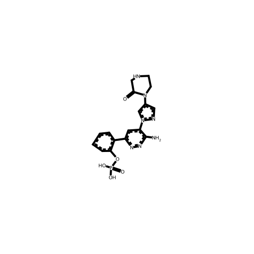 Nc1nnc(-c2ccccc2OP(=O)(O)O)cc1-n1cc(N2CCNCC2=O)cn1